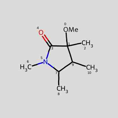 COC1(C)C(=O)N(C)C(C)C1C